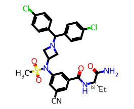 CC[C@H](NC(=O)c1cc(C#N)cc(N(C2CN(C(c3ccc(Cl)cc3)c3ccc(Cl)cc3)C2)S(C)(=O)=O)c1)C(N)=O